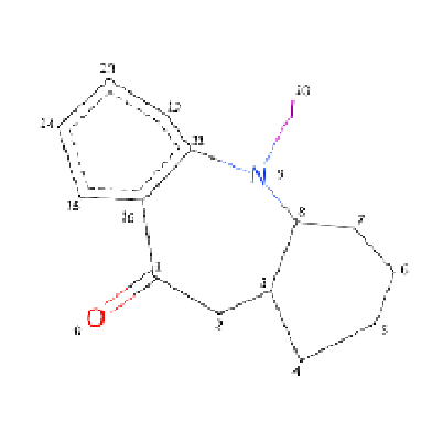 O=C1CC2CCCCC2N(I)c2ccccc21